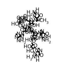 COC1C(OP(=O)(O)OCC2SC(n3cnc4c(=O)[nH]c(N)nc43)C(O)C2OP(=O)(O)OCC2OC(n3cnc4c(=O)[nH]c(N)nc43)C(O)C2O)C(COP(=O)(O)OP(=O)([O-])OP(=O)(O)OCC2OC(n3c[n+](C)c4c(=O)[nH]c(N)nc43)C(O)C2O)OC1n1cnc2c(N)ncnc21